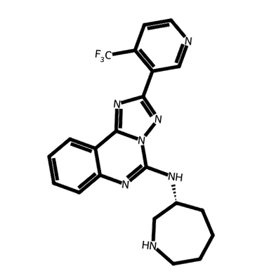 FC(F)(F)c1ccncc1-c1nc2c3ccccc3nc(N[C@@H]3CCCCNC3)n2n1